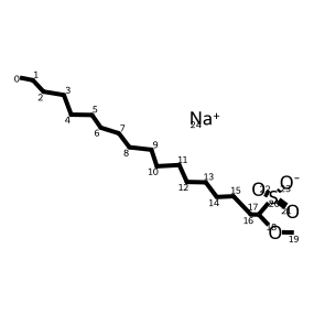 CCCCCCCCCCCCCCCCCC(OC)S(=O)(=O)[O-].[Na+]